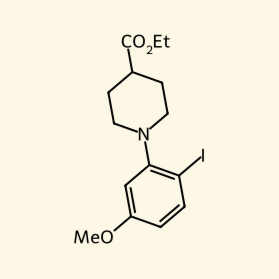 CCOC(=O)C1CCN(c2cc(OC)ccc2I)CC1